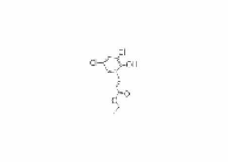 CCOC(=O)/C=C/c1cc(Cl)cc(Cl)c1O